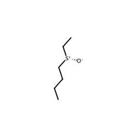 CCCC[S@@+]([O-])CC